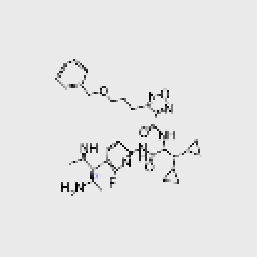 CC(=N)/C(=C(/C)N)c1ccc(NC(=O)C(NC(=O)c2nonc2CCCOCc2ccccc2)C(C2CC2)C2CC2)nc1F